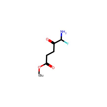 CC(C)(C)OC(=O)CCC(=O)C(N)F